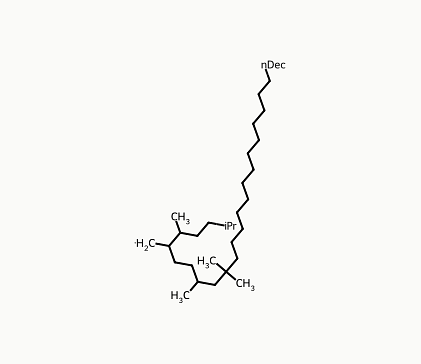 [CH2]C(CCC(C)CC(C)(C)CCCCCCCCCCCCCCCCCCCCCCC)C(C)CCC(C)C